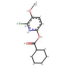 CCOc1ccc(OC(=O)C2CCCCC2)nc1F